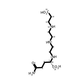 NC(=O)CC[C@H](NCCNCCNCCC(=O)O)C(=O)O